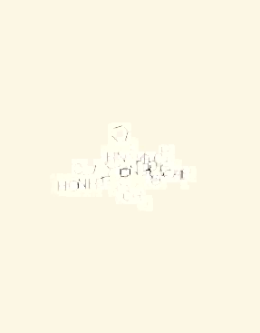 CC(C)C[C@H](NC(=O)[C@H](Cc1ccccc1)NC(=O)c1ccc(C(=O)NO)cc1)B1OC2C[C@H]3C[C@H](C3(C)C)[C@@]2(C)O1